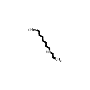 C=CCNCCCCCCCCCCCCC